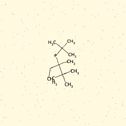 CCC(C)([P]C(C)(C)C)C(C)(C)C